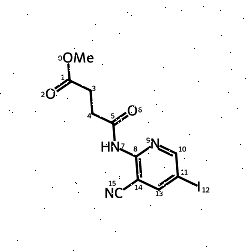 COC(=O)CCC(=O)Nc1ncc(I)cc1C#N